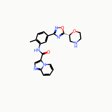 Cc1ccc(-c2noc([C@H]3CNCCO3)n2)cc1NC(=O)c1cnc2ccccn12